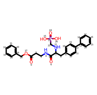 O=C(CCNC(=O)C(Cc1ccc(-c2ccccc2)cc1)NCP(=O)(O)O)OCc1ccccc1